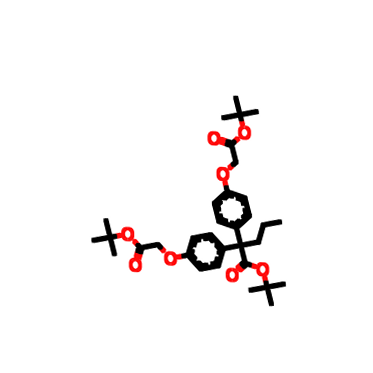 CCCC(C(=O)OC(C)(C)C)(c1ccc(OCC(=O)OC(C)(C)C)cc1)c1ccc(OCC(=O)OC(C)(C)C)cc1